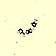 O=C(C1CCCOC1)N1CC2=C(CN(Sc3ccc4ncsc4c3)C2)C1